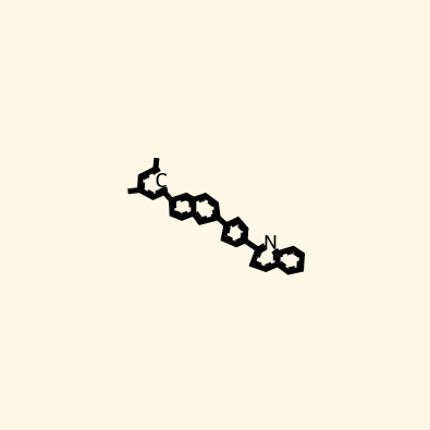 Cc1cc(C)cc(-c2ccc3cc(-c4ccc(-c5ccc6ccccc6n5)cc4)ccc3c2)c1